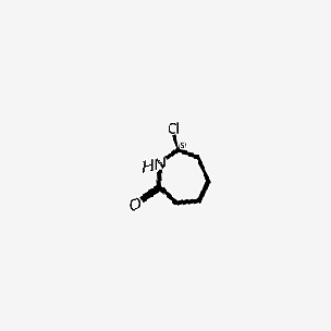 O=C1CCCC[C@H](Cl)N1